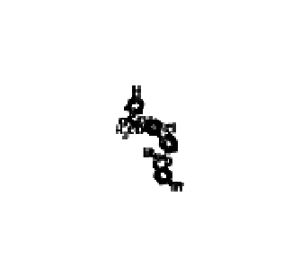 CCN(Cc1ccc(C(C)C)cc1)C(=O)[C@H]1CCCN(c2cccc(OC(C)(C)C(=O)N3CCNCC3)c2)C1.Cl